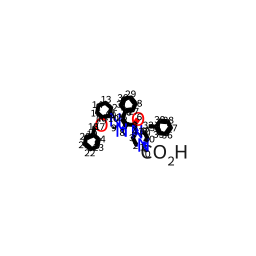 O=C(O)N1CCN(C(=O)c2ncn([C@@H]3CCCC[C@H]3OCc3ccccc3)c2-c2ccccc2)[C@H](Cc2ccccc2)C1